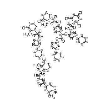 Cc1c(Cl)cccc1S(=O)(=O)Nc1nc(-c2ccccc2)ns1.Cc1c(Cl)cccc1S(=O)(=O)Nc1nc(C(=O)C(=O)Oc2nc(-c3ccccc3)ns2)ns1.Cc1cc(-c2nsc(NS(=O)(=O)c3cccc(Cl)c3C)n2)ccc1F.O=S(=O)(Nc1nc(-c2ccccc2)ns1)c1c(Cl)cc(Cl)cc1Cl